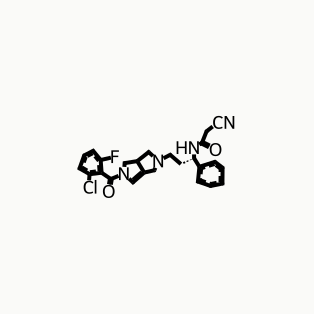 N#CCC(=O)N[C@@H](CCN1CC2=CN(C(=O)c3c(F)cccc3Cl)CC2C1)c1ccccc1